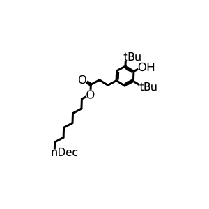 CCCCCCCCCCCCCCCCCOC(=O)CCc1cc(C(C)(C)C)c(O)c(C(C)(C)C)c1